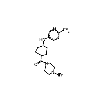 CC(C)N1CCN(C(=O)[C@H]2CC[C@H](Nc3ccc(C(F)(F)F)nc3)CC2)CC1